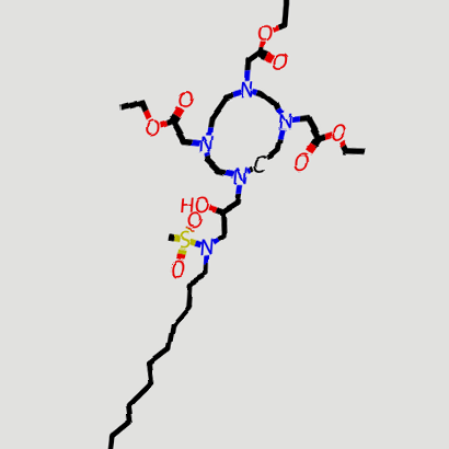 CCCCCCCCCCCN(CC(O)CN1CCN(CC(=O)OCC)CCN(CC(=O)OCC)CCN(CC(=O)OCC)CC1)S(C)(=O)=O